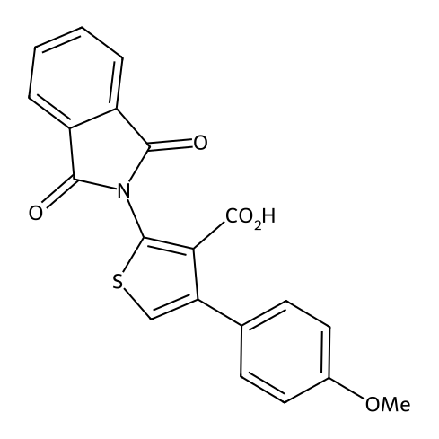 COc1ccc(-c2csc(N3C(=O)c4ccccc4C3=O)c2C(=O)O)cc1